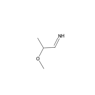 COC(C)C=N